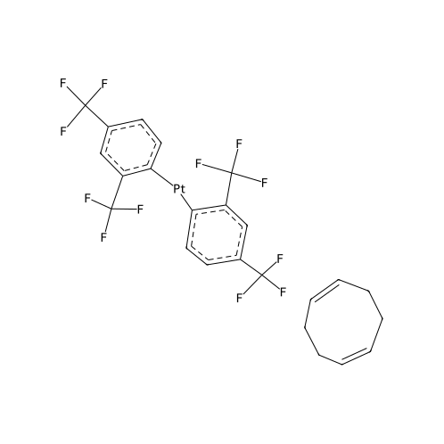 C1=CCCC=CCC1.FC(F)(F)c1cc[c]([Pt][c]2ccc(C(F)(F)F)cc2C(F)(F)F)c(C(F)(F)F)c1